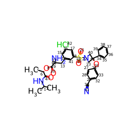 CC(C)NC(=O)C(C)OC(=O)[C@@H](N)Cc1cccc(S(=O)(=O)N2CC(Oc3ccc(C#N)cc3)(c3ccccc3)C2)c1.Cl